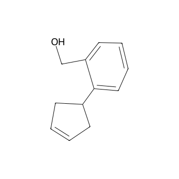 OCc1ccccc1C1CC=CC1